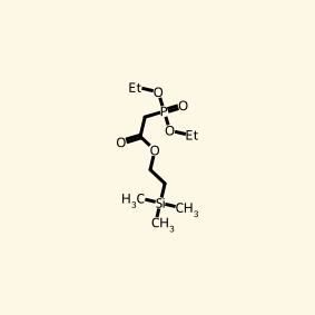 CCOP(=O)(CC(=O)OCC[Si](C)(C)C)OCC